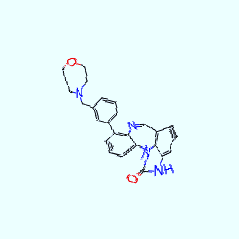 O=c1[nH]c2cccc3c2n1-c1cccc(-c2cccc(CN4CCOCC4)c2)c1N=C3